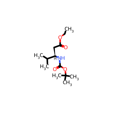 CCOC(=O)C[C@@H](NC(=O)OC(C)(C)C)C(C)C